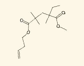 C=CCCOC(=O)C(C)(C)CC(C)(CC)C(=O)OC